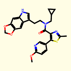 COc1ccc(-c2sc(C)nc2C(=O)N(CCc2c[nH]c3cc4c(cc23)OCO4)CC2CC2)cn1